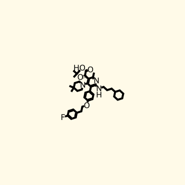 Cc1nc(NCCCC2CCCCC2)c(-c2ccc(OCCc3ccc(F)cc3)cc2)c(N2CCC(C)(C)CC2)c1[C@H](OC(C)(C)C)C(=O)O